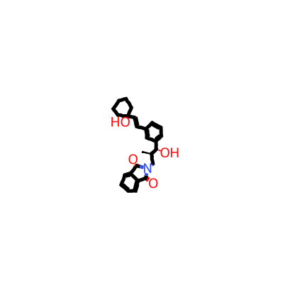 C[C@H](CN1C(=O)c2ccccc2C1=O)[C@@H](O)c1cccc(/C=C/C2(O)CCCCC2)c1